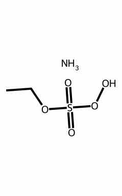 CCOS(=O)(=O)OO.N